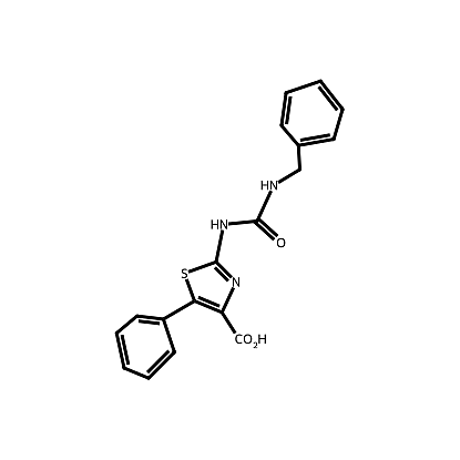 O=C(NCc1ccccc1)Nc1nc(C(=O)O)c(-c2ccccc2)s1